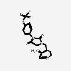 Cc1cnccc1CN1CC(=O)N(c2ccc(OC(F)(F)F)cc2)C1=O